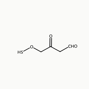 O=CCC(=O)COS